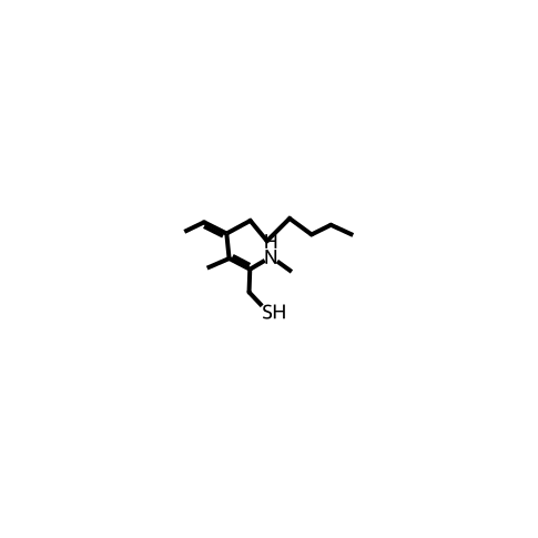 C/C=C(CCCCCC)\C(C)=C(\CS)NC